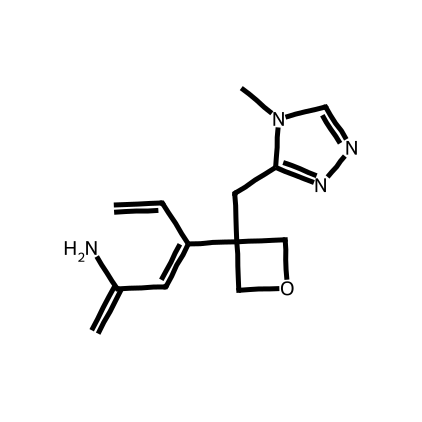 C=C/C(=C\C(=C)N)C1(Cc2nncn2C)COC1